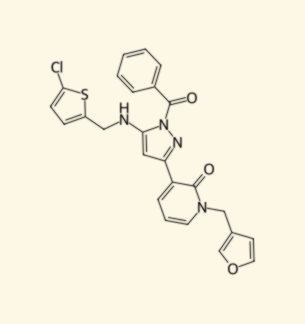 O=C(c1ccccc1)n1nc(-c2cccn(Cc3ccoc3)c2=O)cc1NCc1ccc(Cl)s1